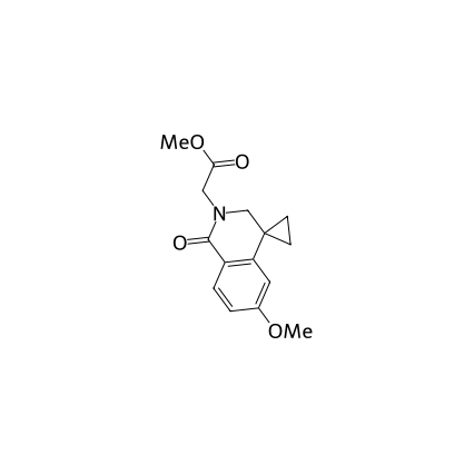 COC(=O)CN1CC2(CC2)c2cc(OC)ccc2C1=O